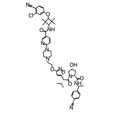 CC(C)[C@@H](C(=O)N1C[C@H](O)C[C@H]1C(=O)N[C@@H](C)c1ccc(C#N)cc1)c1cc(OCCN2CCN(c3ccc(C(=O)NC4C(C)(C)C(Oc5ccc(C#N)c(Cl)c5)C4(C)C)cn3)CC2)no1